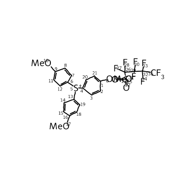 COc1ccc([S+](c2ccc(OC)cc2)c2ccc(OC)cc2)cc1.O=S(=O)([O-])C(F)(F)C(F)(F)C(F)(F)C(F)(F)F